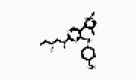 CC[C@H](F)CNc1ncc(-c2nn(C)cc2C)c(N[C@H]2CC[C@H](O)CC2)n1